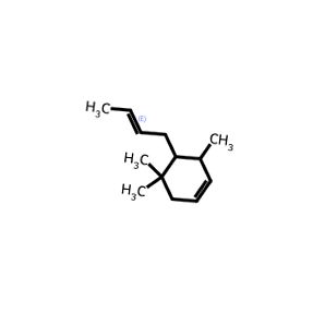 C/C=C/CC1C(C)C=CCC1(C)C